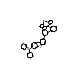 c1ccc(N(c2ccccc2)c2ccc3c(c2)oc2ccc(-c4ccc5c(c4)-c4ccccc4C54c5ccccc5Oc5ccccc54)cc23)cc1